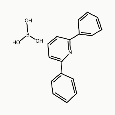 OB(O)O.c1ccc(-c2cccc(-c3ccccc3)n2)cc1